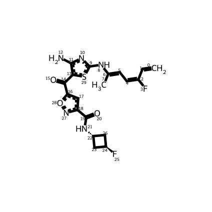 C=C/C(F)=C\C=C(/C)Nc1nc(N)c(C(=O)c2cc(C(=O)N[C@H]3C[C@H](F)C3)no2)s1